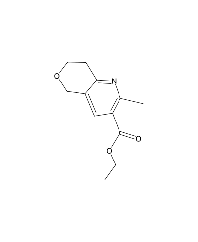 CCOC(=O)c1cc2c(nc1C)CCOC2